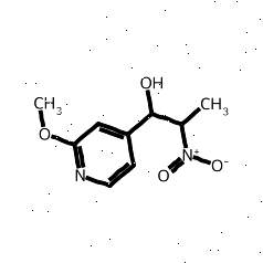 COc1cc(C(O)C(C)[N+](=O)[O-])ccn1